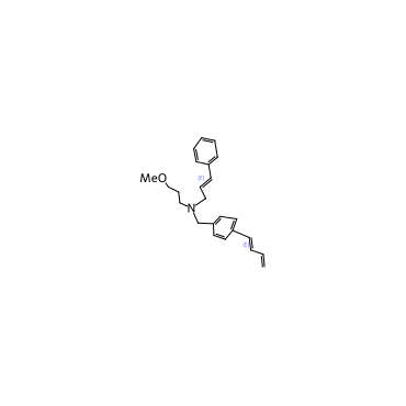 C=C/C=C/c1ccc(CN(C/C=C/c2ccccc2)CCCOC)cc1